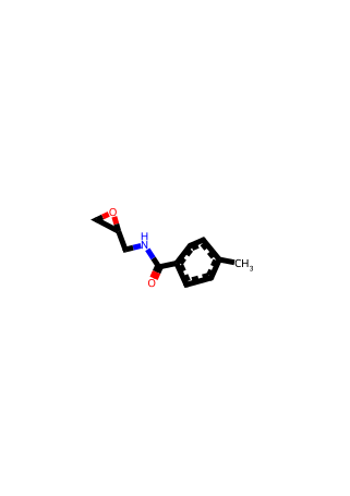 Cc1ccc(C(=O)NCC2CO2)cc1